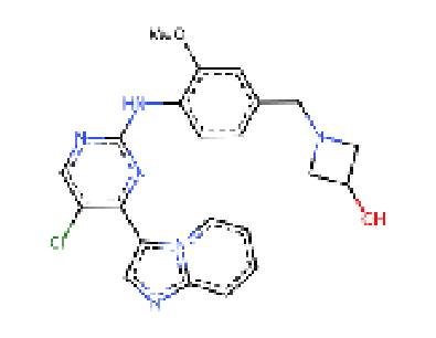 COc1cc(CN2CC(O)C2)ccc1Nc1ncc(Cl)c(-c2cnc3ccccn23)n1